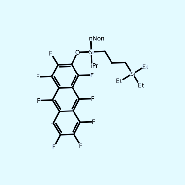 CCCCCCCCC[Si](CCC[Si](CC)(CC)CC)(Oc1c(F)c(F)c2c(F)c3[c]c(F)c(F)c(F)c3c(F)c2c1F)C(C)C